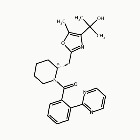 Cc1oc(C[C@H]2CCCCN2C(=O)c2ccccc2-c2ncccn2)nc1C(C)(C)O